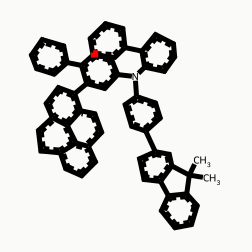 CC1(C)c2ccccc2-c2ccc(-c3ccc(N(c4ccc(-c5ccccc5)c(-c5ccc6ccc7cccc8ccc5c6c78)c4)c4ccccc4-c4ccccc4)cc3)cc21